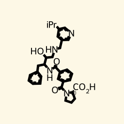 CC(C)c1cncc(CNCC(O)C(Cc2ccccc2)NC(=O)c2cccc(C(=O)N3CCC[C@@H]3C(=O)O)c2)c1